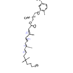 CC(/C=C/CC(C)(C)CCCC(C)C)=C\C=C\C(C)=C\C(=O)OC[C@@H](COc1cc(C(C)C)ccc1C)N=O